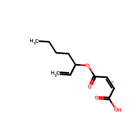 C=CC(CCCC)OC(=O)/C=C\C(=O)O